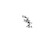 CCSPSS